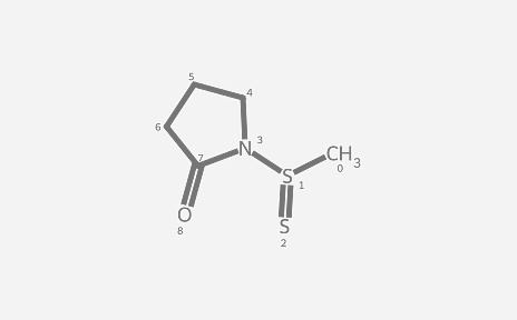 CS(=S)N1CCCC1=O